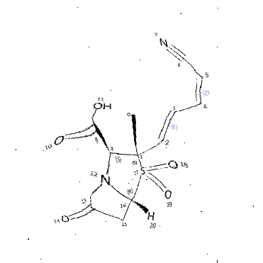 C[C@]1(/C=C/C=C\C#N)[C@H](C(=O)O)N2C(=O)C[C@H]2S1(=O)=O